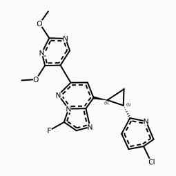 COc1ncc(-c2cc([C@H]3C[C@@H]3c3ccc(Cl)cn3)c3ncc(F)n3n2)c(OC)n1